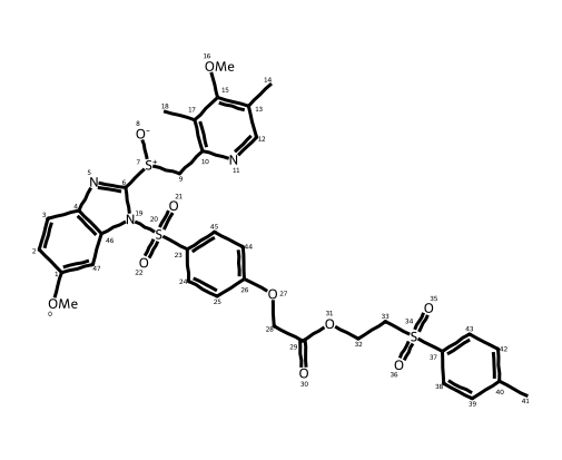 COc1ccc2nc([S+]([O-])Cc3ncc(C)c(OC)c3C)n(S(=O)(=O)c3ccc(OCC(=O)OCCS(=O)(=O)c4ccc(C)cc4)cc3)c2c1